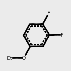 CCOc1[c]cc(F)c(F)c1